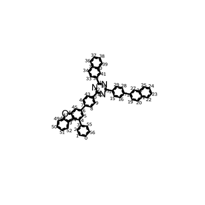 c1ccc(-c2cc(-c3ccc(-c4nc(-c5ccc(-c6ccc7ccccc7c6)cc5)nc(-c5ccc6ccccc6c5)n4)cc3)cc3oc4ccccc4c23)cc1